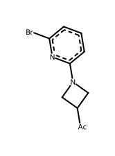 CC(=O)C1CN(c2cccc(Br)n2)C1